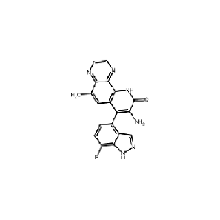 Cc1cc2c(-c3ccc(F)c4[nH]ncc34)c(N)c(=O)[nH]c2c2nccnc12